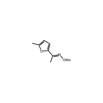 CON=C(C)c1ccc(C)o1